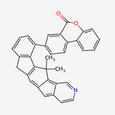 CC1(C)C2=C(C=C3C=c4ccncc4=C31)Cc1cccc(-c3ccc4c(c3)c(=O)oc3ccccc34)c12